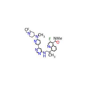 CNC(=O)c1c(F)cnc2c([C@H](C)CNc3cc(-c4ccc(N(C)C5CCN(CC(F)(F)F)CC5)nc4)ncn3)cccc12